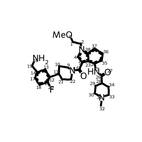 COCCn1cc(C(=O)N2CCC(c3cc(CN)ccc3F)CC2)c2c(NC(=O)C3CCN(C)CC3)cccc21